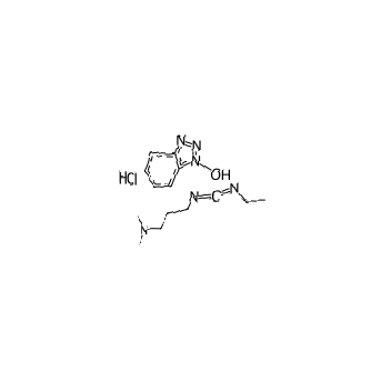 CCN=C=NCCCN(C)C.Cl.On1nnc2ccccc21